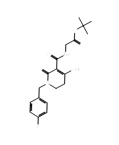 CC(C)(C)OC(=O)CNC(=O)C1=C(O)CCN(Cc2ccc(I)cc2)C1=O